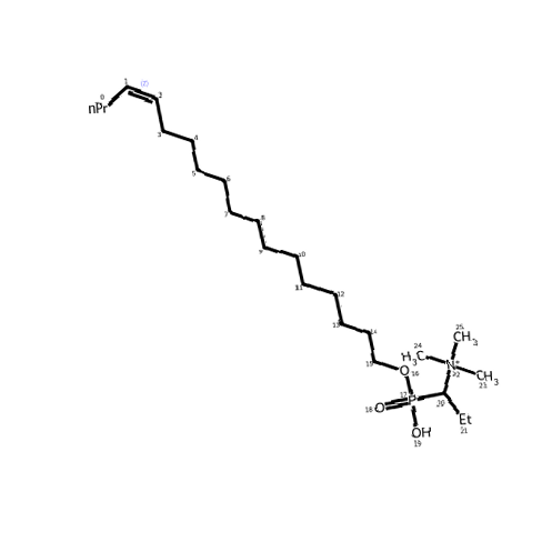 CCC/C=C\CCCCCCCCCCCCCOP(=O)(O)C(CC)[N+](C)(C)C